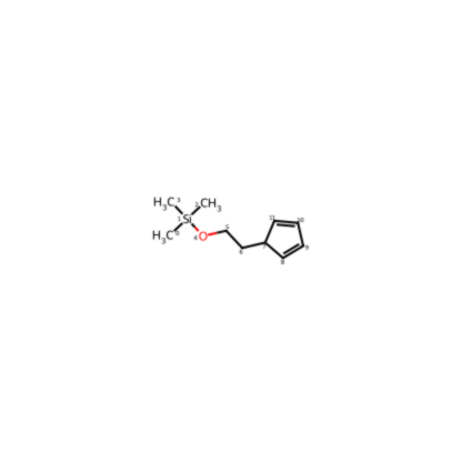 C[Si](C)(C)OCCC1C=CC=C1